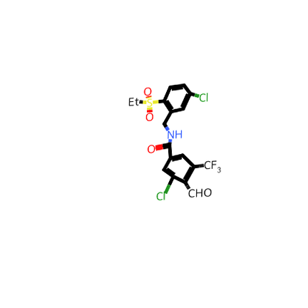 CCS(=O)(=O)c1ccc(Cl)cc1CNC(=O)c1cc(Cl)c(C=O)c(C(F)(F)F)c1